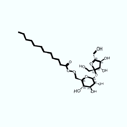 CCCCCCCCCCCC(=O)OOC[C@H]1O[C@H](O[C@]2(CO)O[C@H](CO)[C@@H](O)[C@@H]2O)[C@H](O)[C@@H](O)[C@@H]1O